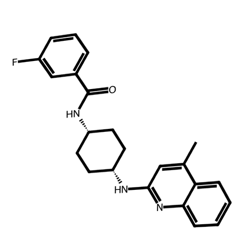 Cc1cc(N[C@H]2CC[C@@H](NC(=O)c3cccc(F)c3)CC2)nc2ccccc12